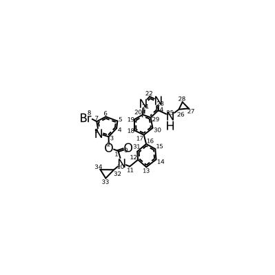 O=C(Oc1cccc(Br)n1)N(Cc1cccc(-c2ccc3ncnc(NC4CC4)c3c2)c1)C1CC1